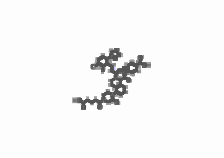 O=C(O)CCCC(=O)N1CCN(c2cccc3c2CCN(C(=O)/C=C/c2c(-n4cnnn4)ccc(Cl)c2F)C3C(=O)Nc2ccc(C(=O)O)cc2)C(=O)C1